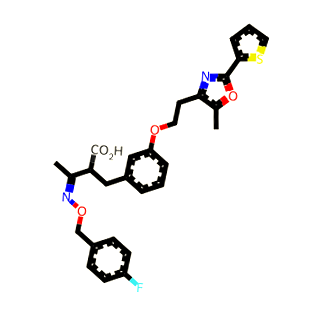 CC(=NOCc1ccc(F)cc1)C(Cc1cccc(OCCc2nc(-c3cccs3)oc2C)c1)C(=O)O